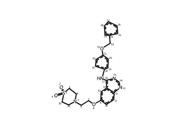 O=S1(=O)CCN(CCOc2ccc3ncnc(Nc4ccc(OCc5ccccc5)cc4)c3c2)CC1